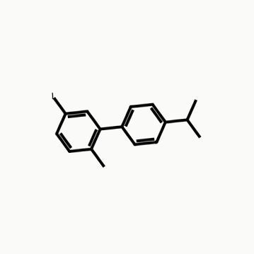 Cc1ccc(I)cc1-c1ccc(C(C)C)cc1